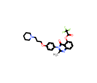 Cc1nc2cccc(OC(=O)C(F)(F)F)c2c(=O)n1-c1ccc(OCCCN2CCCCC2)cc1